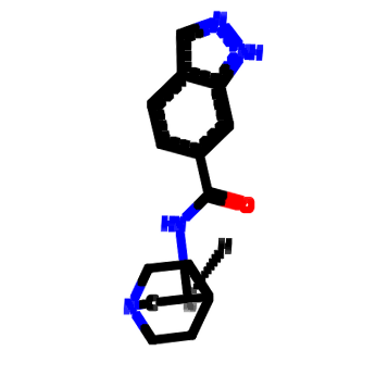 O=C(N[C@@H]1CN2CCC1CC2)c1ccc2cn[nH]c2c1